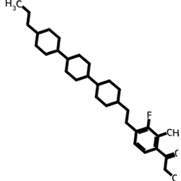 CCCC1CCC(C2CCC(C3CCC(CCc4ccc(C(=O)CC)c(C)c4F)CC3)CC2)CC1